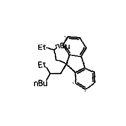 CCCCC(CC)CC1(CC(CC)CCCC)c2[c][c]ccc2-c2cc[c]cc21